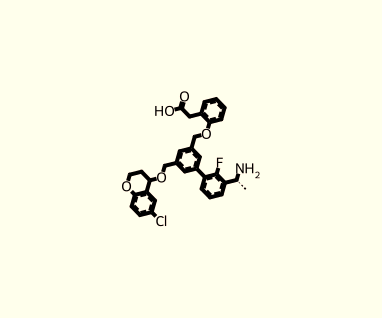 C[C@@H](N)c1cccc(-c2cc(COc3ccccc3CC(=O)O)cc(COC3CCOc4ccc(Cl)cc43)c2)c1F